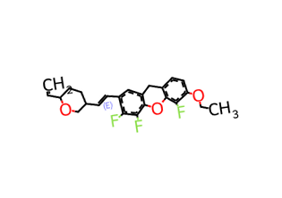 C=CC1CCC(/C=C/c2cc3c(c(F)c2F)Oc2c(ccc(OCC)c2F)C3)CO1